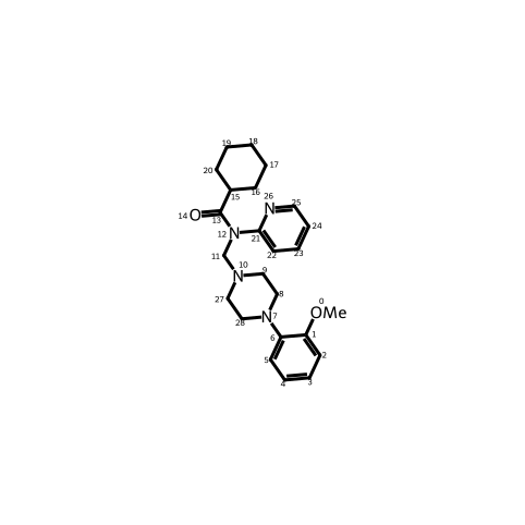 COc1ccccc1N1CCN(CN(C(=O)C2CCCCC2)c2ccccn2)CC1